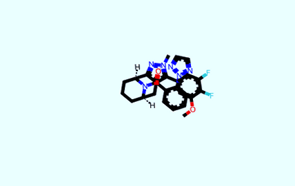 COc1cc(-c2c3c(nn2C)[C@@H]2CCC[C@H](C3)N2C(=O)c2ccccc2-n2nccn2)cc(F)c1F